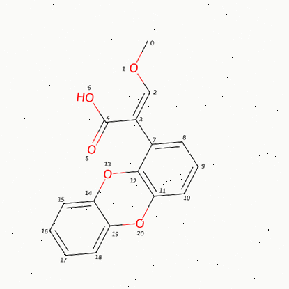 COC=C(C(=O)O)c1cccc2c1Oc1ccccc1O2